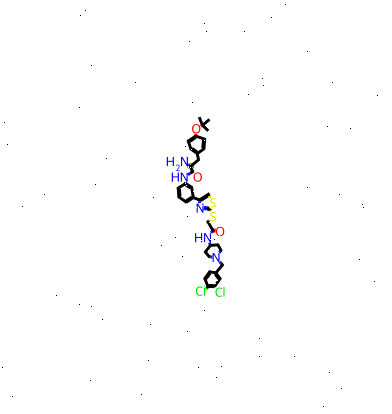 CC(C)(C)Oc1ccc(C[C@H](N)C(=O)Nc2cccc(-c3csc(SCC(=O)NC4CCN(Cc5ccc(Cl)c(Cl)c5)CC4)n3)c2)cc1